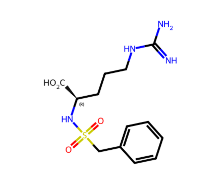 N=C(N)NCCC[C@@H](NS(=O)(=O)Cc1ccccc1)C(=O)O